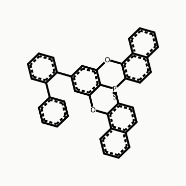 S=P12c3ccc4ccccc4c3Oc3cc(-c4ccccc4-c4ccccc4)cc(c31)Oc1c2ccc2ccccc12